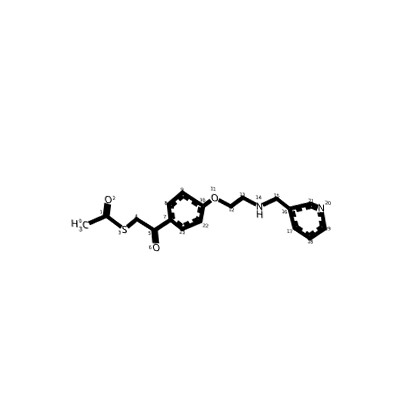 CC(=O)SCC(=O)c1ccc(OCCNCc2cccnc2)cc1